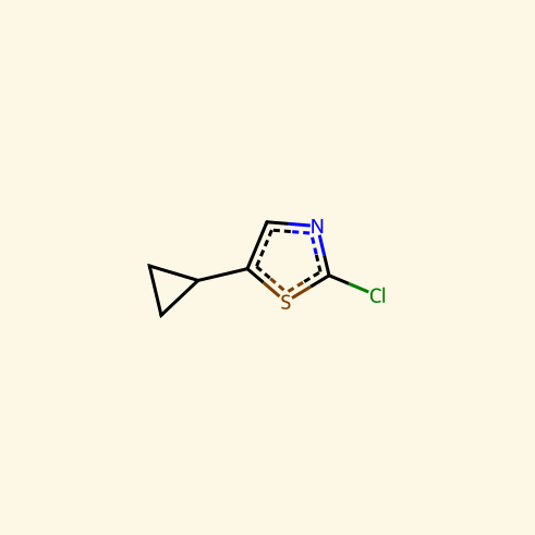 Clc1ncc(C2CC2)s1